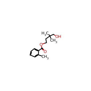 Cc1ccccc1C(=O)OCCC(C)(C)CO